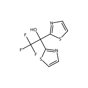 OC(c1nccs1)(c1nccs1)C(F)(F)F